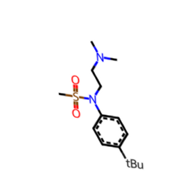 CN(C)CCN(c1ccc(C(C)(C)C)cc1)S(C)(=O)=O